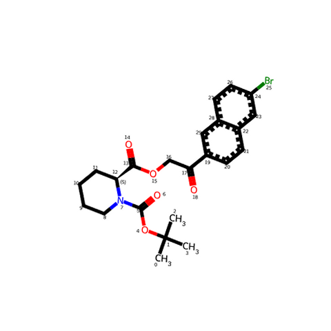 CC(C)(C)OC(=O)N1CCCC[C@H]1C(=O)OCC(=O)c1ccc2cc(Br)ccc2c1